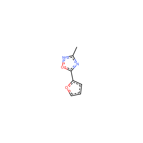 Cc1noc(-c2ccco2)n1